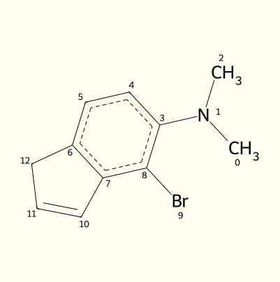 CN(C)c1ccc2c(c1Br)C=CC2